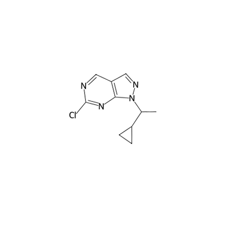 CC(C1CC1)n1ncc2cnc(Cl)nc21